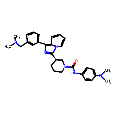 CN(C)Cc1cccc(-c2nc([C@@H]3CCCN(C(=O)Nc4ccc(N(C)C)cc4)C3)n3ccccc23)c1